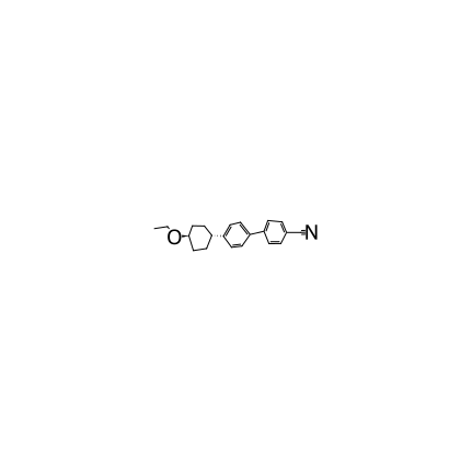 CCO[C@H]1CC[C@H](c2ccc(-c3ccc(C#N)cc3)cc2)CC1